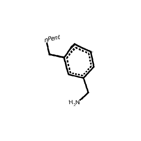 CCCCCCc1c[c]cc(CN)c1